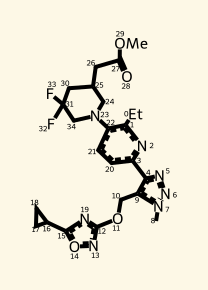 CCc1nc(-c2nnn(C)c2COc2noc(C3CC3)n2)ccc1N1CC(CC(=O)OC)CC(F)(F)C1